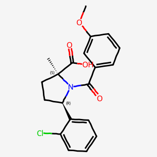 COc1cccc(C(=O)N2[C@@H](c3ccccc3Cl)CC[C@@]2(C)C(=O)O)c1